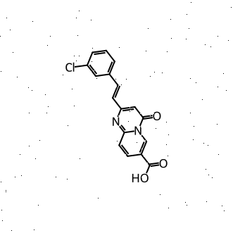 O=C(O)c1ccc2nc(/C=C/c3cccc(Cl)c3)cc(=O)n2c1